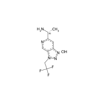 C[C@@H](N)c1cc2nnn(CC(F)(F)F)c2cn1.Cl